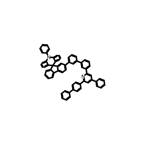 c1ccc(-c2ccc(-c3cc(-c4ccccc4)cc(-c4cccc(-c5cccc(-c6ccc7c(c6)C6(c8ccccc8-7)c7ccccc7N(c7ccccc7)c7ccccc76)c5)c4)n3)cc2)cc1